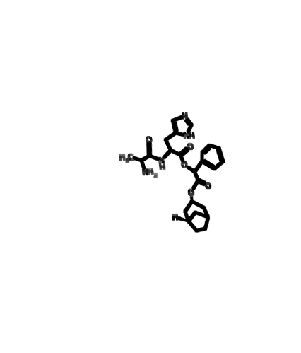 CC(N)C(=O)NC(Cc1cnc[nH]1)C(=O)OC(C(=O)O[C@@H]1CC2CC[C@@H](C2)C1)c1ccccc1